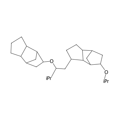 CC(C)OC1CC2CC1C1C(CC(OC3CC4CC3C3CCCC43)C(C)C)CCC21